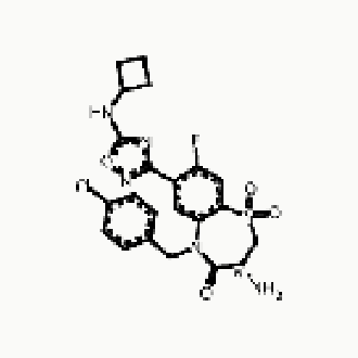 N[C@H]1CS(=O)(=O)c2cc(F)c(-c3noc(NC4CCC4)n3)cc2N(Cc2ccc(Cl)cc2)C1=O